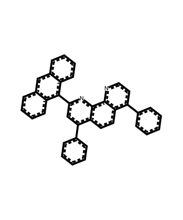 c1ccc(-c2ccnc3c2ccc2c(-c4ccccc4)cc(-c4c5ccccc5cc5ccccc45)nc23)cc1